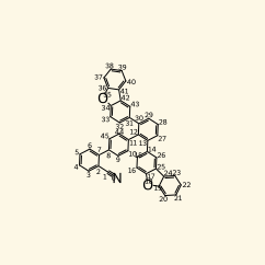 N#Cc1ccccc1-c1ccc(-c2c(-c3ccc4oc5ccccc5c4c3)cccc2-c2ccc3oc4ccccc4c3c2)cc1